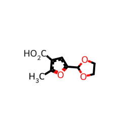 Cc1oc(C2OCCO2)cc1C(=O)O